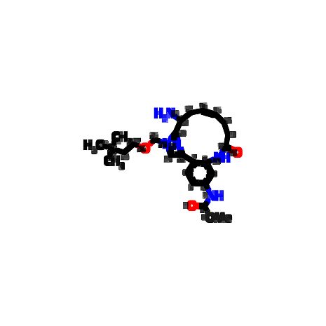 COC(=O)Nc1ccc2c(c1)NC(=O)CCC=CC[C@H](N)c1nc-2cn1COCC[Si](C)(C)C